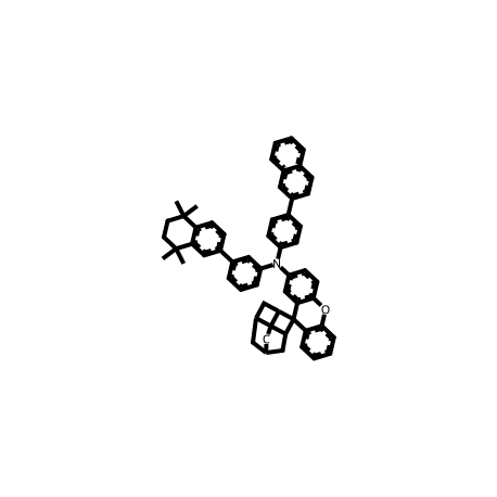 CC1(C)CCC(C)(C)c2cc(-c3cccc(N(c4ccc(-c5ccc6ccccc6c5)cc4)c4ccc5c(c4)C4(c6ccccc6O5)C5CC6CC7CC4C75C6)c3)ccc21